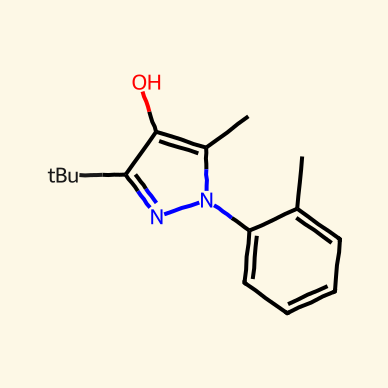 Cc1ccccc1-n1nc(C(C)(C)C)c(O)c1C